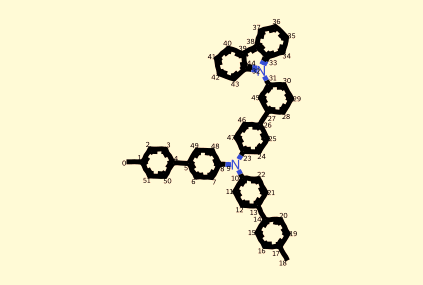 Cc1ccc(-c2ccc(N(c3ccc(-c4ccc(C)cc4)cc3)c3ccc(-c4cccc(-n5c6ccccc6c6ccccc65)c4)cc3)cc2)cc1